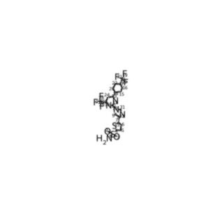 NS(=O)(=O)c1ccc(-c2cn(-c3nc(-c4ccc(C(F)(F)F)cc4)cc(C(F)(F)F)n3)cn2)s1